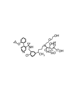 CC(CCCN(CCOCCO)C(=O)[C@@H](O)[C@@H](O)[C@H](O)[C@@H](O)CO)c1ccc(Cl)c(CNC2(c3cnccc3-c3ccccc3OC3CC3)CC2)c1